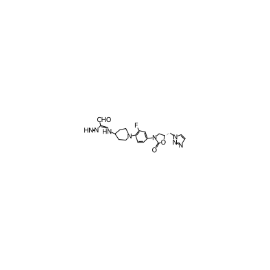 N=N/C(C=O)=C\NC1CCN(c2ccc(N3C[C@H](Cn4ccnn4)OC3=O)cc2F)CC1